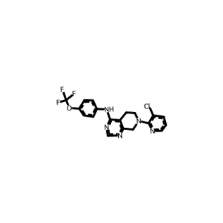 FC(F)(F)Oc1ccc(Nc2ncnc3c2CCN(c2ncccc2Cl)C3)cc1